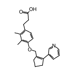 Cc1c(CCC(=O)O)ccc(OCC2=C(c3cccnc3)CCC2)c1C